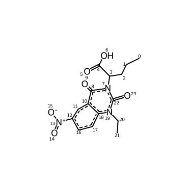 CCCC(C(=O)O)n1c(=O)c2cc([N+](=O)[O-])ccc2n(CC)c1=O